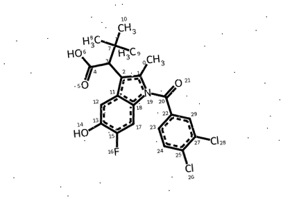 Cc1c(C(C(=O)O)C(C)(C)C)c2cc(O)c(F)cc2n1C(=O)c1ccc(Cl)c(Cl)c1